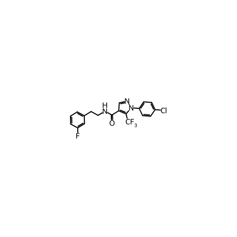 O=C(NCCc1cccc(F)c1)c1cnn(-c2ccc(Cl)cc2)c1C(F)(F)F